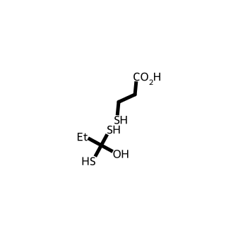 CCC(O)(S)S.O=C(O)CCS